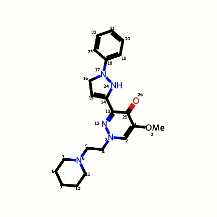 COc1cn(CCN2CCCCC2)nc(C2=CCN(c3ccccc3)N2)c1=O